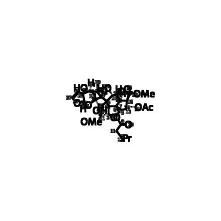 COC(=O)[C@H]1OC[C@@]23[C@@H](OC(=O)CC(C)C)C[C@@H](OC(C)=O)[C@@]4(C(=O)OC)CO[C@@H]([C@@H](O)[C@@](C)([C@]56O[C@@]5(C)[C@H]5C[C@@H]6O[C@@H]6OC=C[C@@]65O)[C@H]12)[C@@H]43